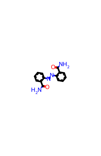 NC(=O)c1ccccc1/N=N/c1ccccc1C(N)=O